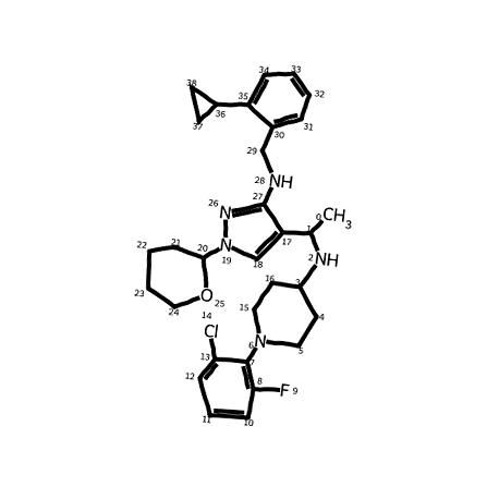 CC(NC1CCN(c2c(F)cccc2Cl)CC1)c1cn(C2CCCCO2)nc1NCc1ccccc1C1CC1